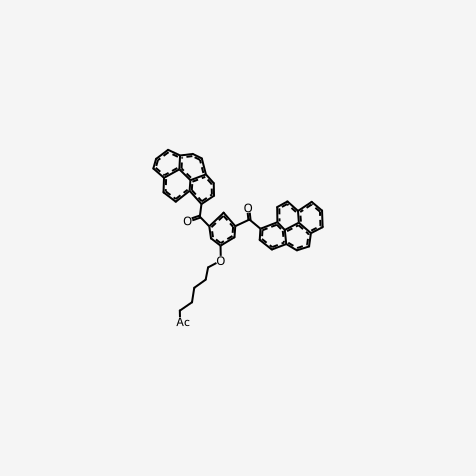 CC(=O)CCCCCOc1cc(C(=O)c2ccc3ccc4cccc5ccc2c3c45)cc(C(=O)c2ccc3ccc4cccc5ccc2c3c45)c1